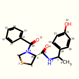 CC(NC(=O)[C@@H]1CSCN1C(=O)c1ccccc1)c1ccc(O)cc1